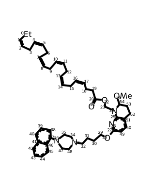 CC/C=C\C/C=C\C/C=C\C/C=C\C/C=C\C/C=C\CCC(=O)OCN1c2nc(OCCCCN3CCN(c4cccc5ccccc45)CC3)ccc2CCC1OC